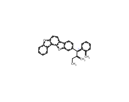 C=C(CC)/C(c1ccc2c(c1)oc1c2ccc2oc3ccccc3c21)=c1/ccccc1=C